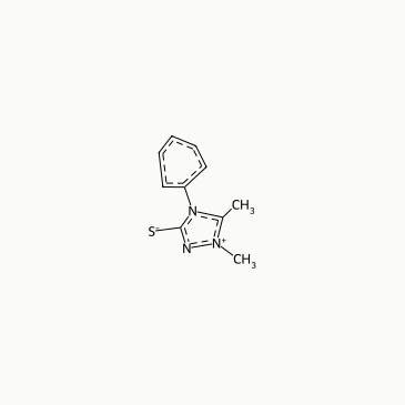 Cc1n(-c2ccccc2)c([S-])n[n+]1C